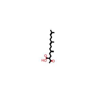 C=C(CC/C=C(\C)CCC=C(C)C)CCC(C(C)=O)C(=O)O